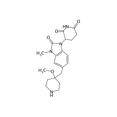 COC1(Cc2ccc3c(c2)n(C)c(=O)n3C2CCC(=O)NC2=O)CCNCC1